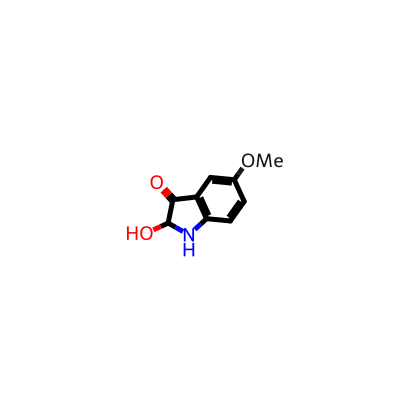 COc1ccc2c(c1)C(=O)C(O)N2